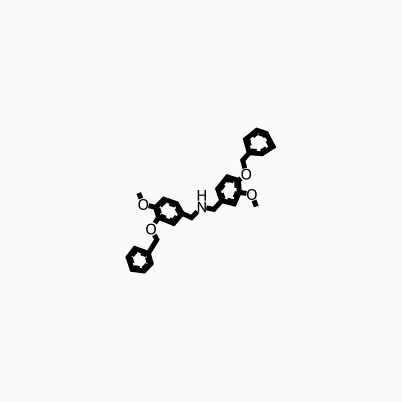 COc1cc(CNCc2ccc(OC)c(OCc3ccccc3)c2)ccc1OCc1ccccc1